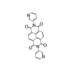 O=C1c2ccc3c4c(ccc(c24)C(=O)N1c1cccnc1)C(=O)N(c1cccnc1)C3=O